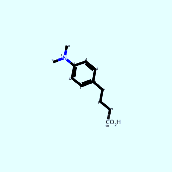 CN(C)c1ccc(CCCC(=O)O)cc1